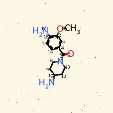 COc1cc(C(=O)N2CCC(N)CC2)ccc1N